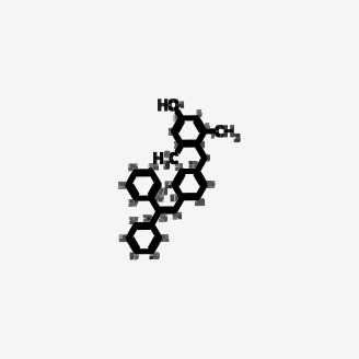 Cc1cc(O)cc(C)c1Cc1ccc(C=C(c2ccccc2)c2ccccc2)cc1